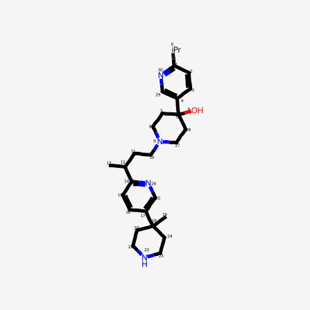 CC(C)c1ccc(C2(O)CCN(CCC(C)c3ccc(C4(C)CCNCC4)cn3)CC2)cn1